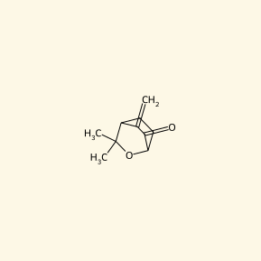 C=C1C(=O)C2CCC1C(C)(C)O2